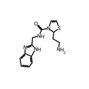 NCCC1SC=CN1C(=O)NCc1nc2ccccc2[nH]1